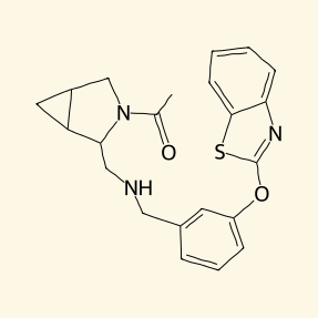 CC(=O)N1CC2CC2C1CNCc1cccc(Oc2nc3ccccc3s2)c1